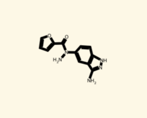 Nc1n[nH]c2ccc(N(N)C(=O)c3ccco3)cc12